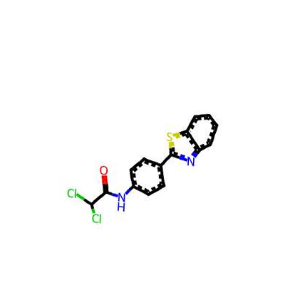 O=C(Nc1ccc(-c2nc3ccccc3s2)cc1)C(Cl)Cl